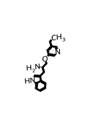 CCc1cncc(OC[C@@H](N)Cc2c[nH]c3ccccc23)c1